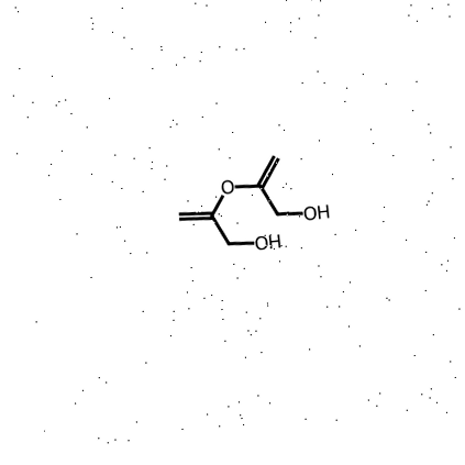 C=C(CO)OC(=C)CO